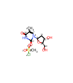 CS(=O)(=O)Cl.Cc1cn([C@H]2C[C@H](O)[C@@H](CO)O2)c(=O)[nH]c1=O